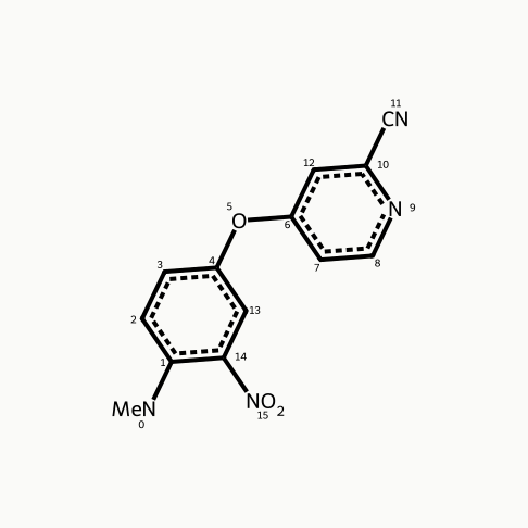 CNc1ccc(Oc2ccnc(C#N)c2)cc1[N+](=O)[O-]